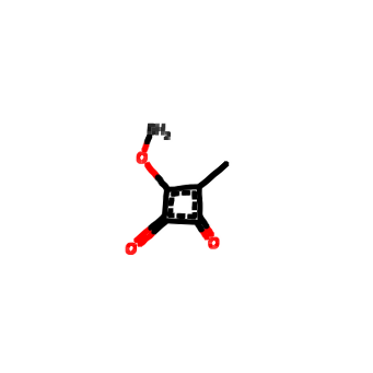 BOc1c(C)c(=O)c1=O